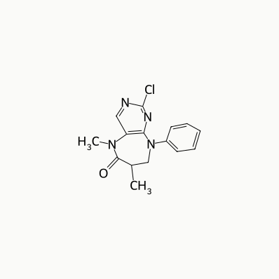 CC1CN(c2ccccc2)c2nc(Cl)ncc2N(C)C1=O